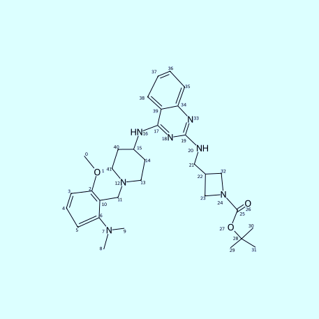 COc1cccc(N(C)C)c1CN1CCC(Nc2nc(NCC3CN(C(=O)OC(C)(C)C)C3)nc3ccccc23)CC1